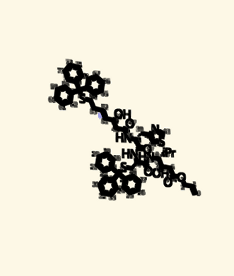 C=CCOC(=O)C[C@H](O)[C@H](NC(=O)[C@@H](CSC(c1ccccc1)(c1ccccc1)c1ccccc1)NC(=O)[C@@H](Cc1cscn1)NC(=O)C[C@H](O)/C=C/CCSC(c1ccccc1)(c1ccccc1)c1ccccc1)C(C)C